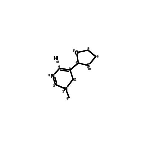 CN1C=NC=C(C2OCCS2)C1.I